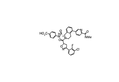 CNC(=O)c1ccc(-c2cccc3c2CCN(C(=O)C2CC(c4cccc(Cl)c4F)=NO2)[C@@H]3C(=O)Nc2ccc(C(=O)O)cc2)cn1